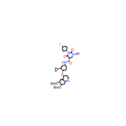 COc1cc2nccc(Oc3ccc(NC(=O)c4cn(C(C)C)c(=O)n(-c5ccc(F)cc5)c4=O)cc3C3CC3)c2cc1OC